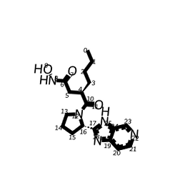 CCCC[C@H](CC(=O)NO)C(=O)N1CCC[C@H]1c1nc2ccncc2[nH]1